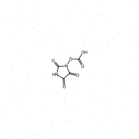 O=C(O)ON1C(=O)NC(=O)C1=O